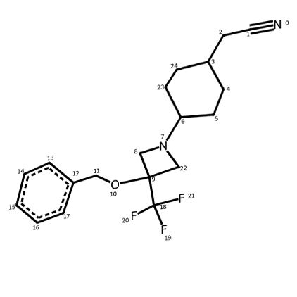 N#CCC1CCC(N2CC(OCc3ccccc3)(C(F)(F)F)C2)CC1